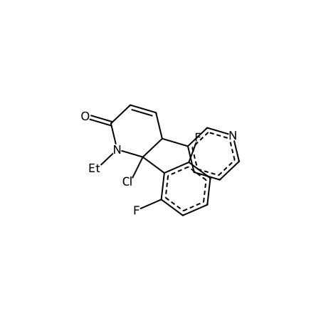 CCN1C(=O)C=CC(c2cccnc2)C1(Cl)c1c(F)cccc1F